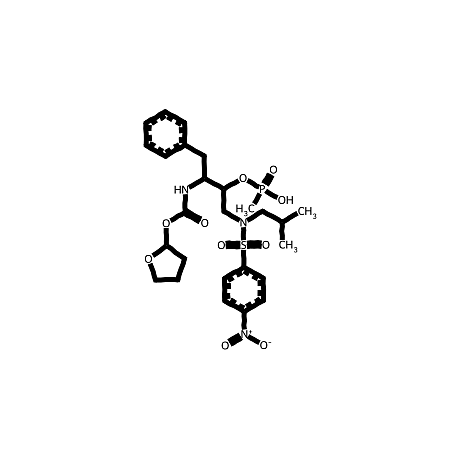 CC(C)CN(CC(OP(C)(=O)O)C(Cc1ccccc1)NC(=O)OC1CCCO1)S(=O)(=O)c1ccc([N+](=O)[O-])cc1